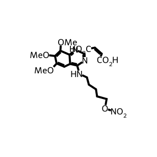 COc1cc2c(NCCCCCO[N+](=O)[O-])ncnc2c(OC)c1OC.O=C(O)/C=C\C(=O)O